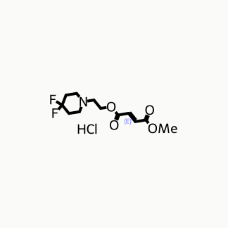 COC(=O)/C=C/C(=O)OCCN1CCC(F)(F)CC1.Cl